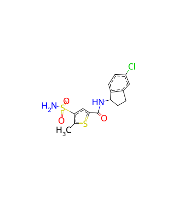 Cc1sc(C(=O)NC2CCc3cc(Cl)ccc32)cc1S(N)(=O)=O